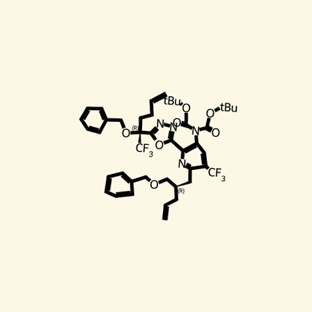 C=CCC[C@@](OCc1ccccc1)(c1nnc(-c2nc(C[C@@H](CC=C)COCc3ccccc3)c(C(F)(F)F)cc2N(C(=O)OC(C)(C)C)C(=O)OC(C)(C)C)o1)C(F)(F)F